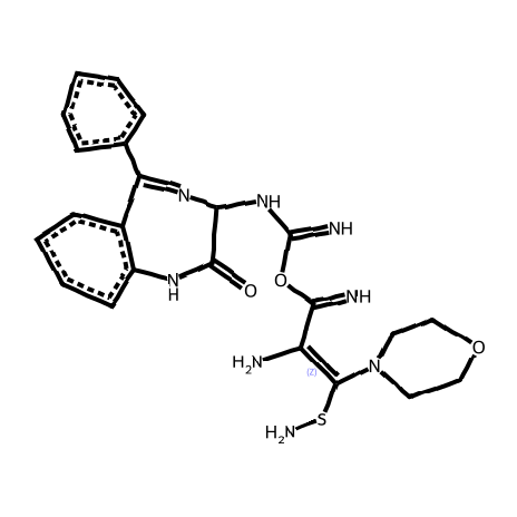 N=C(NC1N=C(c2ccccc2)c2ccccc2NC1=O)OC(=N)/C(N)=C(/SN)N1CCOCC1